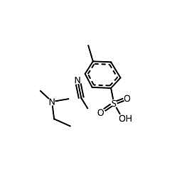 CC#N.CCN(C)C.Cc1ccc(S(=O)(=O)O)cc1